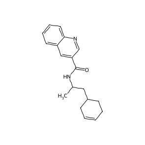 CC(CC1CC=CCC1)NC(=O)c1cnc2ccccc2c1